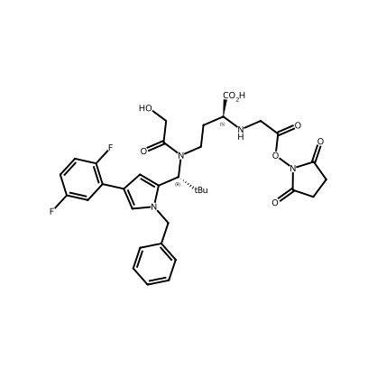 CC(C)(C)[C@H](c1cc(-c2cc(F)ccc2F)cn1Cc1ccccc1)N(CC[C@H](NCC(=O)ON1C(=O)CCC1=O)C(=O)O)C(=O)CO